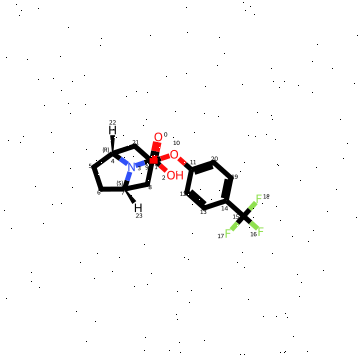 O=C(O)N1[C@@H]2CC[C@H]1CC(Oc1ccc(C(F)(F)F)cc1)C2